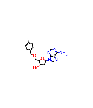 Cc1ccc(COC[C@H]2O[C@@H](n3cnc4c(N)ncnc43)C[C@@H]2O)cc1